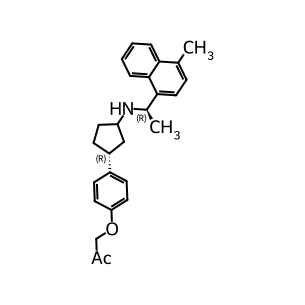 CC(=O)COc1ccc([C@@H]2CCC(N[C@H](C)c3ccc(C)c4ccccc34)C2)cc1